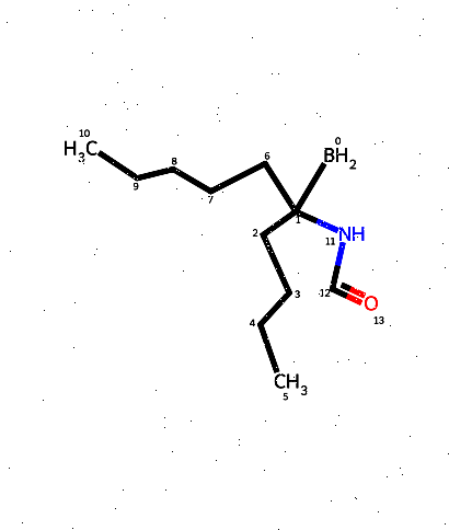 BC(CCCC)(CCCCC)NC=O